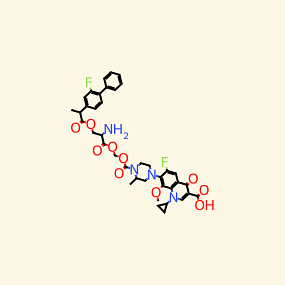 COc1c(N2CCN(C(=O)OCOC(=O)C(N)COC(=O)C(C)c3ccc(-c4ccccc4)c(F)c3)C(C)C2)c(F)cc2c(=O)c(C(=O)O)cn(C3CC3)c12